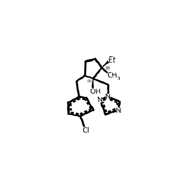 CC[C@]1(C)CCC(Cc2ccc(Cl)cc2)[C@@]1(O)Cn1cncn1